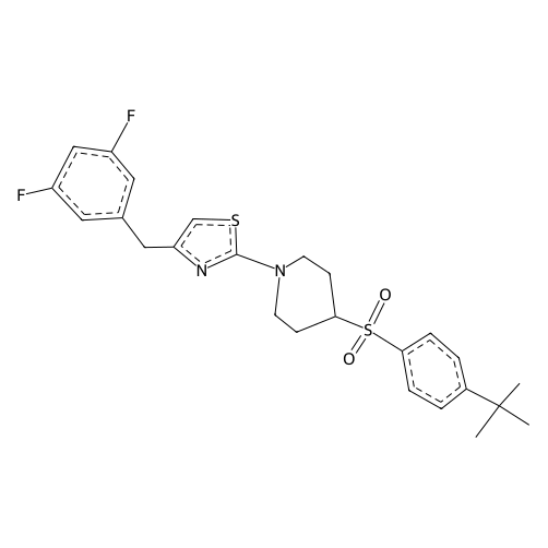 CC(C)(C)c1ccc(S(=O)(=O)C2CCN(c3nc(Cc4cc(F)cc(F)c4)cs3)CC2)cc1